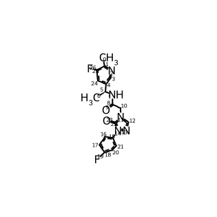 Cc1ncc([C@H](C)NC(=O)Cn2cnn(-c3ccc(F)cc3)c2=O)cc1F